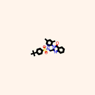 Cc1ccc(-n2c(CNS(=O)(=O)c3ccc(C(C)(C)C)cc3)nc3ccccc3c2=O)c(C)c1